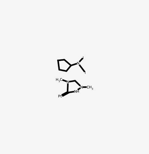 CN1CN(C)[C](=[Pt])N1.IN(I)C1CCCC1